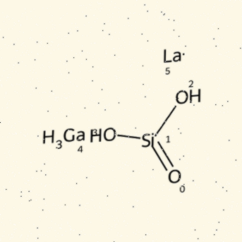 O=[Si](O)O.[GaH3].[La]